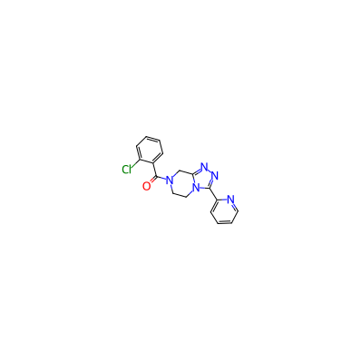 O=C(c1ccccc1Cl)N1CCn2c(nnc2-c2ccccn2)C1